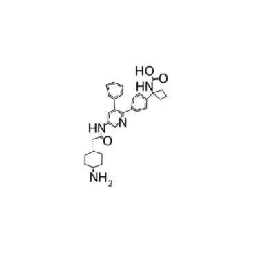 N[C@H]1CC[C@H](CC(=O)Nc2cnc(-c3ccc(C4(NC(=O)O)CCC4)cc3)c(-c3ccccc3)c2)CC1